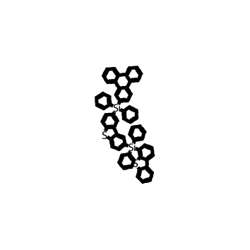 c1ccc([Si](c2ccccc2)(c2ccc3sc4ccc([Si](c5ccccc5)(c5ccccc5)c5cccc6c5sc5ccccc56)cc4c3c2)c2ccc3c4ccccc4c4ccccc4c3c2)cc1